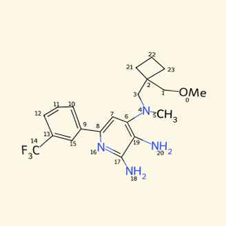 COCC1(CN(C)c2cc(-c3cccc(C(F)(F)F)c3)nc(N)c2N)CCC1